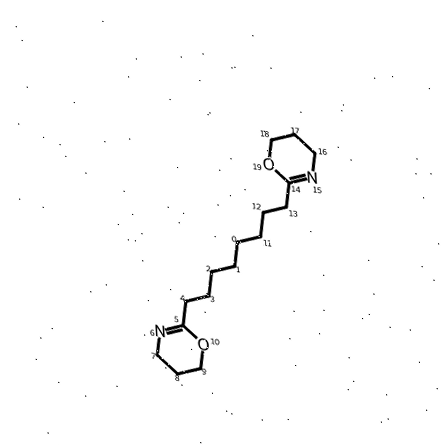 C(CCCCC1=NCCCO1)CCCC1=NCCCO1